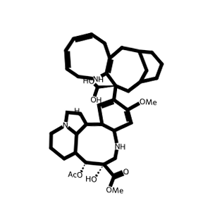 COC(=O)[C@]1(O)CNC2C=C(OC)C([C@@]3(C(O)O)CC4CCCC(C/C5=C\3NC/C=C\C=C/C5)C4)=CC2[C@@H]2CCN3CCCC(C23)[C@H]1OC(C)=O